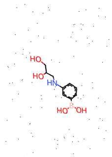 OCC(O)CNc1cccc(B(O)O)c1